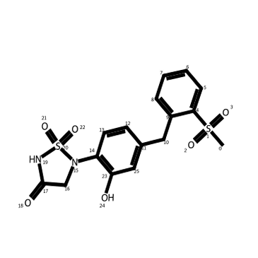 CS(=O)(=O)c1ccccc1Cc1ccc(N2CC(=O)NS2(=O)=O)c(O)c1